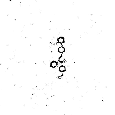 COc1ccccc1N1CCN(CCN(c2ccccn2)C(=O)[C@H]2CC[C@H](CO)CC2)CC1